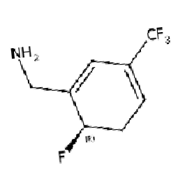 NCC1=CC(C(F)(F)F)=CC[C@H]1F